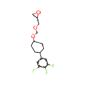 Fc1cc(C2CCC(OCOCC3CO3)CC2)cc(F)c1F